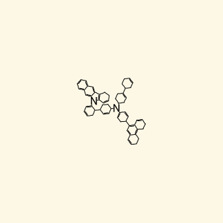 C1=CCC(C2C=CC(N(C3=CCC(c4cc5c(c6c4C=CCC6)CCC=C5)C=C3)C3CC=C(C4CC=CCC4)CC3)CC2)C(n2c3c(c4cc5ccccc5cc42)CCC=C3)=C1